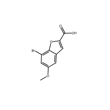 COc1cc(Br)c2oc(C(=O)O)cc2c1